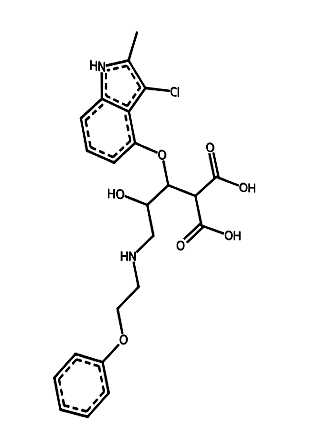 Cc1[nH]c2cccc(OC(C(O)CNCCOc3ccccc3)C(C(=O)O)C(=O)O)c2c1Cl